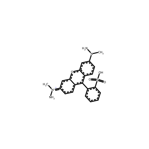 CN(N)c1ccc2c(-c3ccccc3S(=O)(=O)O)c3cc/c(=[N+](/C)N)cc-3oc2c1